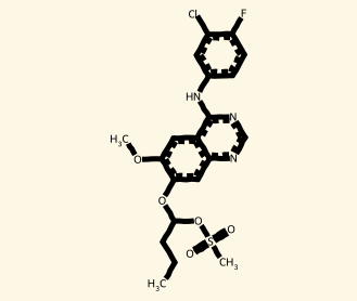 CCCC(Oc1cc2ncnc(Nc3ccc(F)c(Cl)c3)c2cc1OC)OS(C)(=O)=O